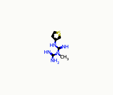 CN(C(=N)N)C(=N)Nc1ccsc1